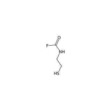 O=C(F)NCCS